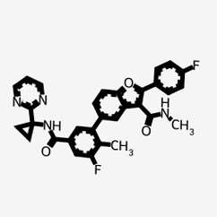 CNC(=O)c1c(-c2ccc(F)cc2)oc2ccc(-c3cc(C(=O)NC4(c5ncccn5)CC4)cc(F)c3C)cc12